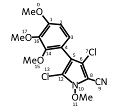 COc1ccc(-c2c(Cl)c(C#N)n(OC)c2Cl)c(OC)c1OC